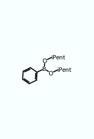 CCCC(C)OB(OC(C)CCC)c1ccccc1